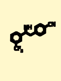 N#Cc1ccc(CC(=N)c2cccc(C(F)(F)F)c2)cc1